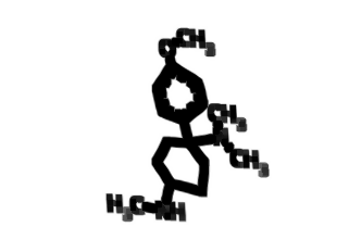 CNC1CCC(c2ccc(OC)cc2)(N(C)C)CC1